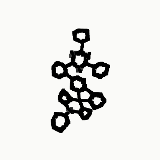 c1ccc(-c2nc(-c3ccccc3)nc(-c3ccccc3-c3ccc4c(c3)C3(c5ccccc5-4)c4ccccc4N(c4ccccc4)c4ccccc43)n2)cc1